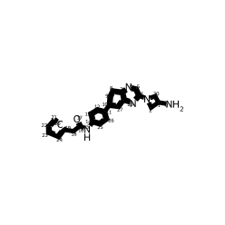 NC1CN(c2cnc3ccc(-c4ccc(NC(=O)Cc5ccccc5)cc4)cc3n2)C1